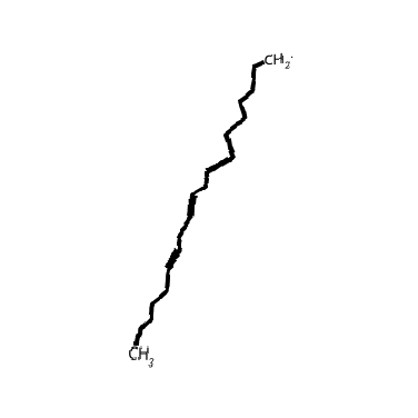 [CH2]CCCCC/C=C/C/C=C/C/C=C/CCCCC